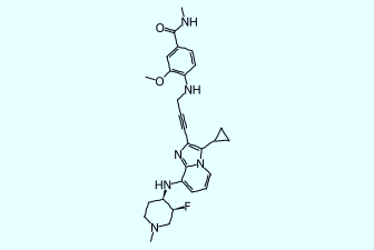 CNC(=O)c1ccc(NCC#Cc2nc3c(N[C@@H]4CCN(C)C[C@@H]4F)cccn3c2C2CC2)c(OC)c1